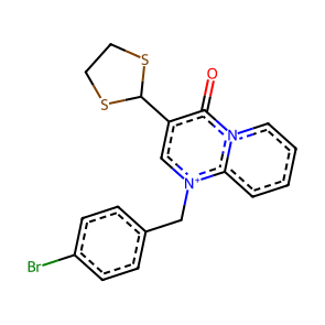 O=c1c(C2SCCS2)c[n+](Cc2ccc(Br)cc2)c2ccccn12